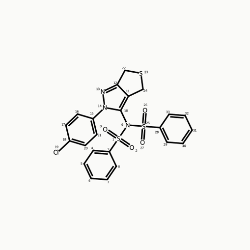 O=S(=O)(c1ccccc1)N(c1c2c(nn1-c1ccc(Cl)cc1)CSC2)S(=O)(=O)c1ccccc1